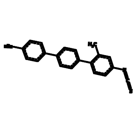 CCCCc1ccc(-c2ccc(-c3ccc(N=C=S)cc3C)cc2)cc1